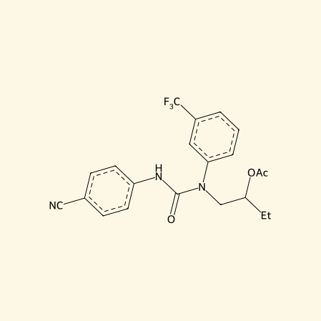 CCC(CN(C(=O)Nc1ccc(C#N)cc1)c1cccc(C(F)(F)F)c1)OC(C)=O